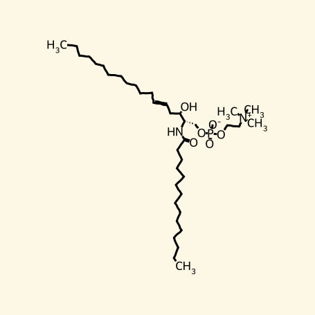 CCCCCCCCCCCCC=CC[C@@H](O)[C@H](COP(=O)([O-])OCC[N+](C)(C)C)NC(=O)CCCCCCCCCCCCCC